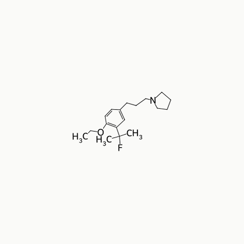 CCOc1ccc(CCCN2CCCC2)cc1C(C)(C)F